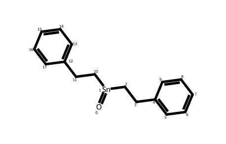 [O]=[Sn]([CH2]Cc1ccccc1)[CH2]Cc1ccccc1